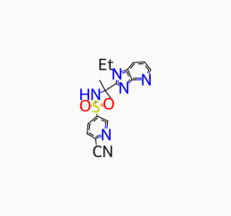 CCn1c(C(C)(C)NS(=O)(=O)c2ccc(C#N)nc2)nc2ncccc21